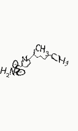 CC=C(CCCCC)c1ccc(S(N)(=O)=O)cn1